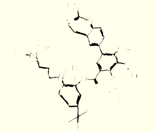 COc1c(C(=O)Nc2cc(C(F)(F)F)ccc2N(C)CCCN(C)C)cc(-c2ccc3nc(N)ncc3c2)c(OC)c1OC